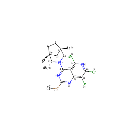 CCSc1nc(N2C[C@H]3CC[C@H](C3)[C@H]2[C@@H](C)CC)c2c(Br)nc(Cl)c(F)c2n1